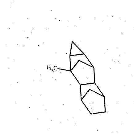 CC12CC(C3CC31)C1C3CCC(C3)C12